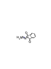 N/N=N/N1C(=O)c2ccccc2C1=O